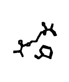 C=C(C)C(=O)OCCCOC(=O)C(=C)C.C=Cc1ccccc1